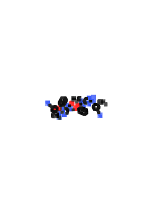 Cc1cc(C#N)ccc1Nc1ncc2c(n1)n(C13CC4CC(CC(OCn5c(=O)n(C67CC8CC(CC(O)(C8)C6)C7)c6nc(Nc7ccc(C#N)cc7C)ncc65)(C4)C1)C3)c(=O)n2C